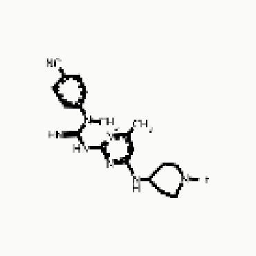 CCN1CCC(Nc2cc(C)nc(NC(=N)N(C)c3ccc(C#N)cc3)n2)CC1